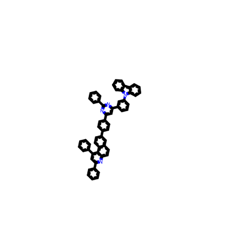 c1ccc(-c2cc(-c3ccccc3)c3c(ccc4cc(-c5ccc(-c6cc(-c7cccc(-n8c9ccccc9c9ccccc98)c7)nc(-c7ccccc7)n6)cc5)ccc43)n2)cc1